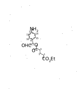 CCOC(=O)CCCC(=O)OC(C=O)c1ccc(N)cc1